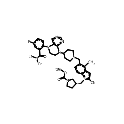 CCN(C(=O)c1cc(F)ccc1N1CCN(C2CCN(Cc3ccc4c(cc(C#N)n4C[C@@H]4CCN(C(=O)OC(C)(C)C)C4)c3C)CC2)c2ncncc21)C(C)C